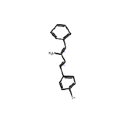 CC(/C=C/c1ccc(S)cc1)=C\c1ccccc1